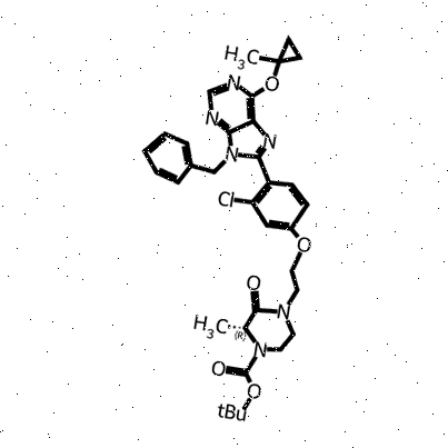 C[C@@H]1C(=O)N(CCOc2ccc(-c3nc4c(OC5(C)CC5)ncnc4n3Cc3ccccc3)c(Cl)c2)CCN1C(=O)OC(C)(C)C